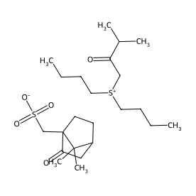 CC1(C)C2CCC1(CS(=O)(=O)[O-])C(=O)C2.CCCC[S+](CCCC)CC(=O)C(C)C